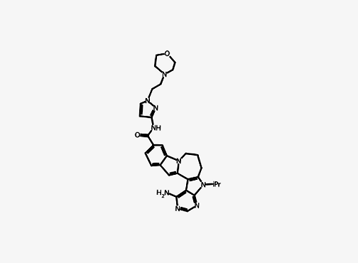 CC(C)n1c2c(c3c(N)ncnc31)-c1cc3ccc(C(=O)Nc4ccn(CCN5CCOCC5)n4)cc3n1CCC2